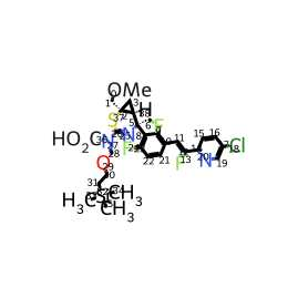 COC[C@]12C[C@H]1[C@@](CF)(c1cc(/C=C(\F)c3ccc(Cl)cn3)ccc1F)N=C(N(COCC[Si](C)(C)C)C(=O)O)S2